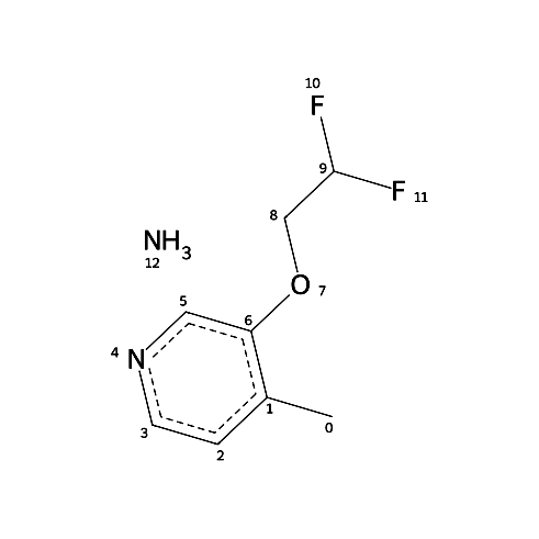 Cc1ccncc1OCC(F)F.N